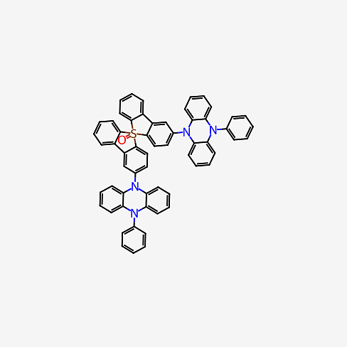 O=S12(c3ccccc3-c3cc(N4c5ccccc5N(c5ccccc5)c5ccccc54)ccc31)c1ccccc1-c1cc(N3c4ccccc4N(c4ccccc4)c4ccccc43)ccc12